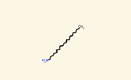 CCCCCC=CCC=CCC=CCC=CCCCCN